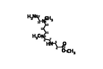 COC(=O)CCNCCN(C)CCCN(C)CCN